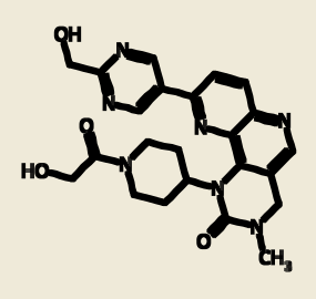 CN1Cc2cnc3ccc(-c4cnc(CO)nc4)nc3c2N(C2CCN(C(=O)CO)CC2)C1=O